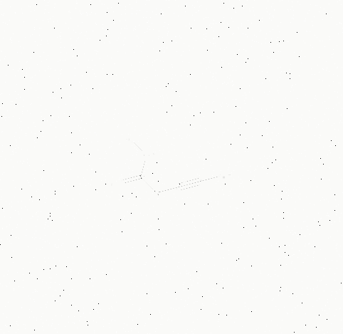 CCCC#CNC(=O)OC(C)(C)C